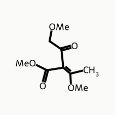 COCC(=O)/C(C(=O)OC)=C(\C)OC